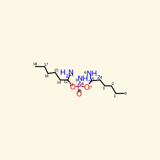 CCCCCC(N)OP(N)(=O)OC(N)CCCCC